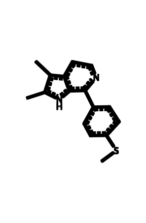 CSc1ccc(-c2nccc3c(C)c(C)[nH]c23)cc1